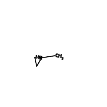 C[SiH]1CC1